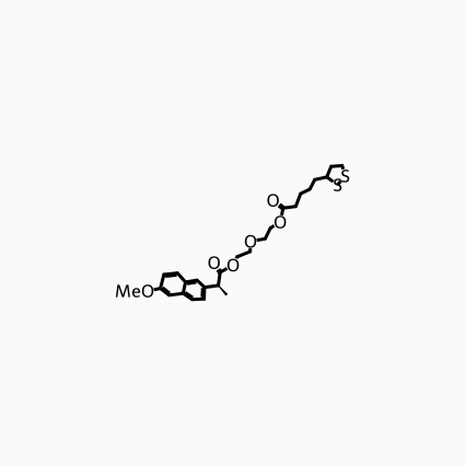 COc1ccc2cc([C@H](C)C(=O)OCCOCCOC(=O)CCCCC3CCSS3)ccc2c1